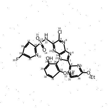 CCOC1=NC(c2nc3nc(Cl)c(NS(=O)(=O)c4ccc(F)cn4)nc3n2-c2c(O)cccc2OC)=C=C=C1